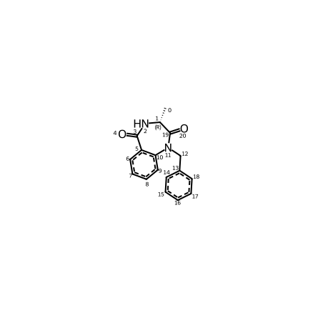 C[C@H]1NC(=O)c2ccccc2N(Cc2ccccc2)C1=O